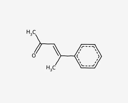 CC(=O)/C=C(\C)c1ccccc1